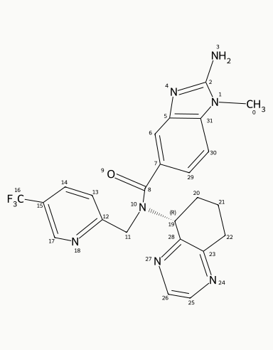 Cn1c(N)nc2cc(C(=O)N(Cc3ccc(C(F)(F)F)cn3)[C@@H]3CCCc4nccnc43)ccc21